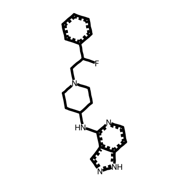 FC(CN1CCC(Nc2nccc3[nH]ncc23)CC1)c1ccccc1